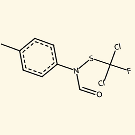 Cc1ccc(N(C=O)SC(F)(Cl)Cl)cc1